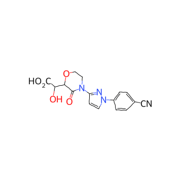 N#Cc1ccc(-n2ccc(N3CCOC(C(O)C(=O)O)C3=O)n2)cc1